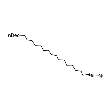 CCCCCCCCCCCCCCCCCCCCCCCCCCC#C[N]